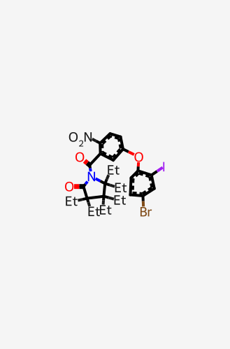 CCC1(CC)C(=O)N(C(=O)c2cc(Oc3ccc(Br)cc3I)ccc2[N+](=O)[O-])C(CC)(CC)C1(CC)CC